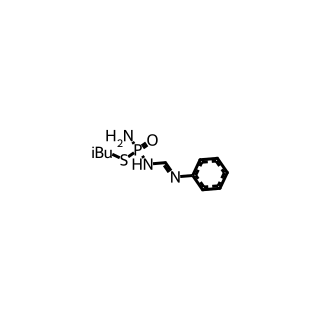 CCC(C)SP(N)(=O)NC=Nc1ccccc1